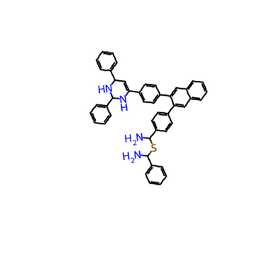 NC(SC(N)c1ccc(-c2cc3ccccc3cc2-c2ccc(C3=CC(c4ccccc4)NC(c4ccccc4)N3)cc2)cc1)c1ccccc1